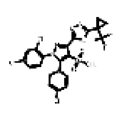 CS(=O)(=O)c1c(-c2nnc(C3(C(F)(F)F)CC3)o2)nn(-c2ccc(Cl)cc2Cl)c1C1C=CC(Cl)=CC1